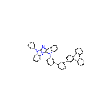 c1ccc(-n2c3ccccc3n3c2nc2c4ccccc4n(-c4cccc(-c5cccc(-c6ccc7c8ccccc8c8ccccc8c7c6)c5)c4)c23)cc1